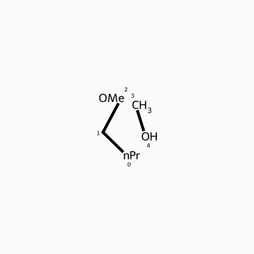 CCCCOC.CO